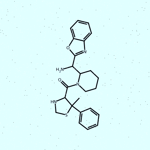 CC1(c2ccccc2)SCNC1C(=O)N1CCCCC1C(N)c1nc2ccccc2o1